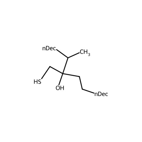 CCCCCCCCCCCCC(O)(CS)C(C)CCCCCCCCCC